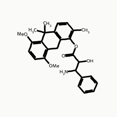 COc1ccc(OC)c2c1Cc1c(ccc(C)c1OC(=O)C(O)C(N)c1ccccc1)C2(C)C